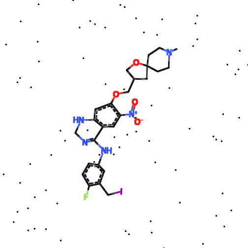 CN1CCC2(CC1)CC(COc1cc3c(cc1[N+](=O)[O-])C(Nc1ccc(F)c(CI)c1)=NCN3)CO2